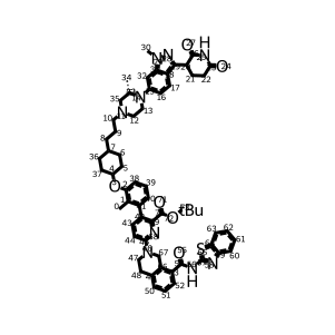 Cc1c(OC2CCC(CCCN3CCN(c4ccc5c(C6CCC(=O)NC6=O)nn(C)c5c4)[C@@H](C)C3)CC2)cccc1-c1ccc(N2CCc3cccc(C(=O)Nc4nc5ccccc5s4)c3C2)nc1C(=O)OC(C)(C)C